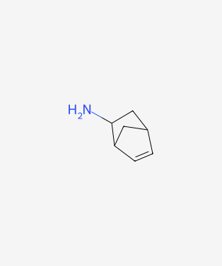 NC1CC2C=CC1C2